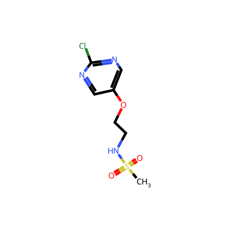 CS(=O)(=O)NCCOc1cnc(Cl)nc1